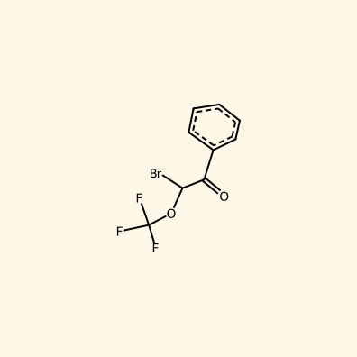 O=C(c1ccccc1)C(Br)OC(F)(F)F